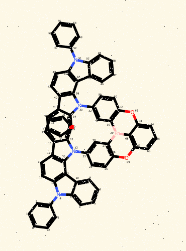 c1ccc(-n2c3ccccc3c3c2ccc2c4ccccc4n(-c4ccc5c(c4)B4c6cc(-n7c8ccccc8c8ccc9c(c%10ccccc%10n9-c9ccccc9)c87)ccc6Oc6cccc(c64)O5)c23)cc1